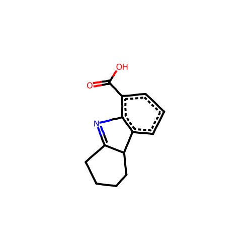 O=C(O)c1cccc2c1N=C1CCCCC12